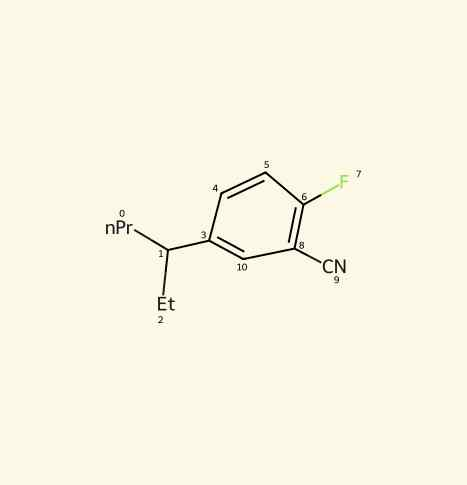 CCCC(CC)c1ccc(F)c(C#N)c1